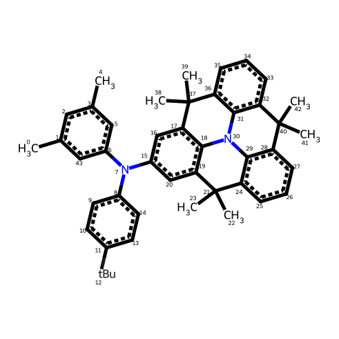 Cc1cc(C)cc(N(c2ccc(C(C)(C)C)cc2)c2cc3c4c(c2)C(C)(C)c2cccc5c2N4c2c(cccc2C3(C)C)C5(C)C)c1